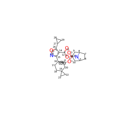 CC(C)(C)OC(=O)N1C2CCC1CC(OC(=O)c1c(C3CCC4(CC3)CC4)noc1C1CC1)C2